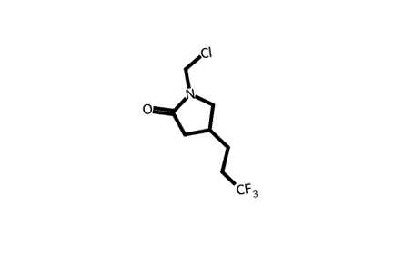 O=C1CC(CCC(F)(F)F)CN1CCl